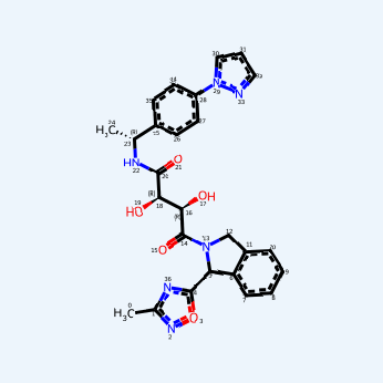 Cc1noc(C2c3ccccc3CN2C(=O)[C@H](O)[C@@H](O)C(=O)N[C@H](C)c2ccc(-n3cccn3)cc2)n1